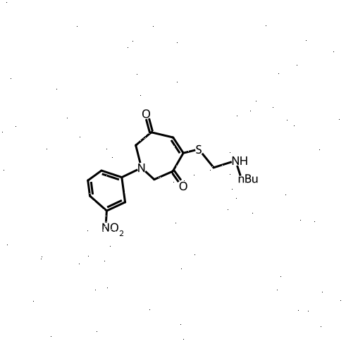 CCCCNCSC1=CC(=O)CN(c2cccc([N+](=O)[O-])c2)CC1=O